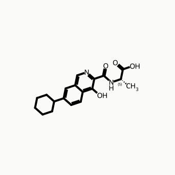 C[C@H](NC(=O)c1ncc2cc(C3CCCCC3)ccc2c1O)C(=O)O